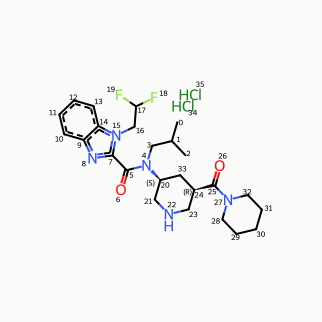 CC(C)CN(C(=O)c1nc2ccccc2n1CC(F)F)[C@@H]1CNC[C@H](C(=O)N2CCCCC2)C1.Cl.Cl